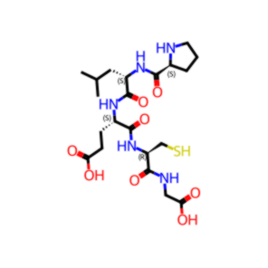 CC(C)C[C@H](NC(=O)[C@@H]1CCCN1)C(=O)N[C@@H](CCC(=O)O)C(=O)N[C@@H](CS)C(=O)NCC(=O)O